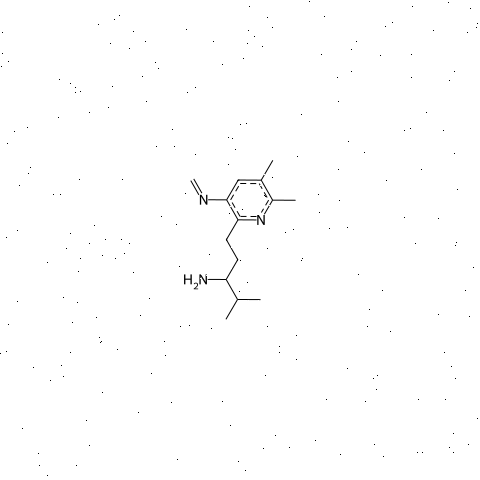 C=Nc1cc(C)c(C)nc1CCC(N)C(C)C